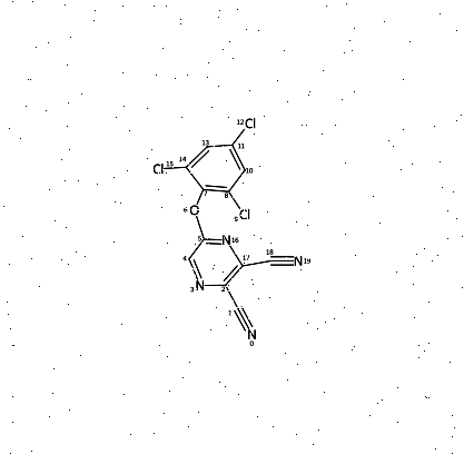 N#Cc1ncc(Oc2c(Cl)cc(Cl)cc2Cl)nc1C#N